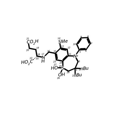 CCCCC1(CCCC)CN(c2ccccc2)c2cc(SC)c(CN[C@@H](CCC(=O)O)C(=O)O)cc2S(O)(O)C1